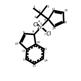 CC(C)(C)[C]1([Zr]([Cl])([Cl])[CH]2C=Cc3ccccc32)C=CC=C1